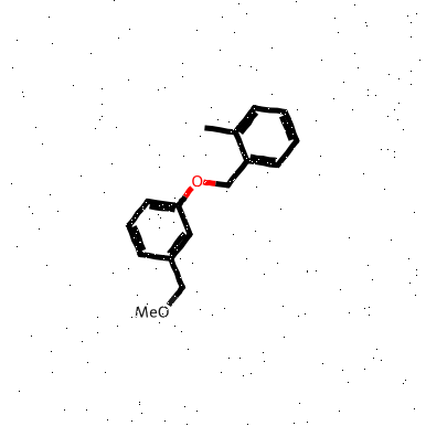 COCc1cccc(OCc2ccccc2C)c1